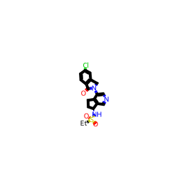 CCS(=O)(=O)N[C@@H]1CCc2c1cncc2N1Cc2cc(Cl)ccc2C1=O